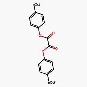 CCCCCCCCc1ccc(OC(=O)C(=O)Oc2ccc(CCCCCCCC)cc2)cc1